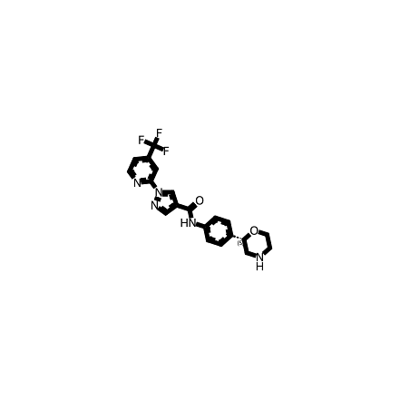 O=C(Nc1ccc([C@H]2CNCCO2)cc1)c1cnn(-c2cc(C(F)(F)F)ccn2)c1